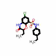 CCc1ccc(NS(=O)(=O)c2cc(Cl)cc3c2OC(CC)C(=O)N3)cc1